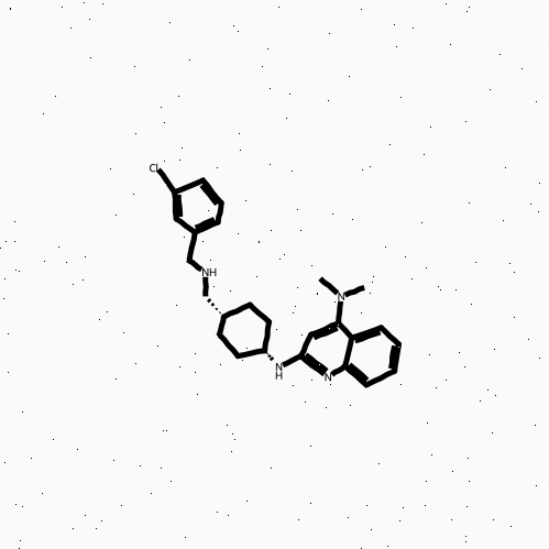 CN(C)c1cc(N[C@H]2CC[C@@H](CNCc3cccc(Cl)c3)CC2)nc2ccccc12